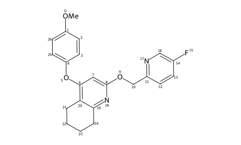 COc1ccc(Oc2cc(OCc3ccc(F)cn3)nc3c2CCCC3)cc1